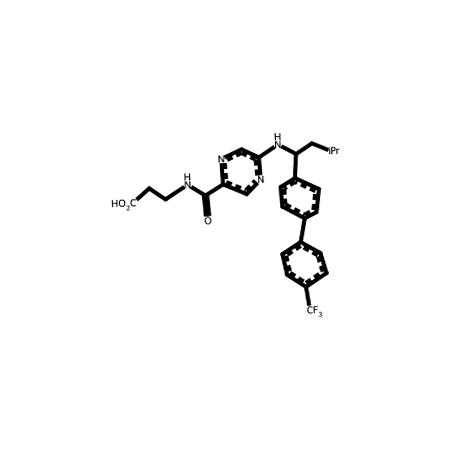 CC(C)CC(Nc1cnc(C(=O)NCCC(=O)O)cn1)c1ccc(-c2ccc(C(F)(F)F)cc2)cc1